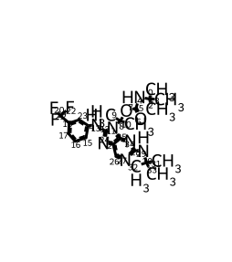 CC(C)(C)NC(=O)OC(C)(C)n1c(Nc2cccc(C(F)(F)F)c2)nc2cnc(NC(C)(C)C)nc21